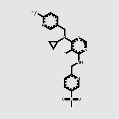 CS(=O)(=O)c1ccc(CNc2ncnc(N(Cc3ccc(C(F)(F)F)nc3)C3CC3)c2F)nc1